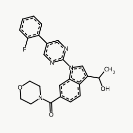 CC(O)c1cn(-c2ncc(-c3ccccc3F)cn2)c2cc(C(=O)N3CCOCC3)ccc12